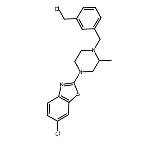 CC1CN(c2nc3ccc(Cl)cc3s2)CCN1Cc1cccc(CCl)c1